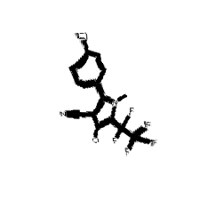 Cn1c(-c2ccc(Cl)cc2)c(C#N)c(Cl)c1C(F)(F)C(F)(F)F